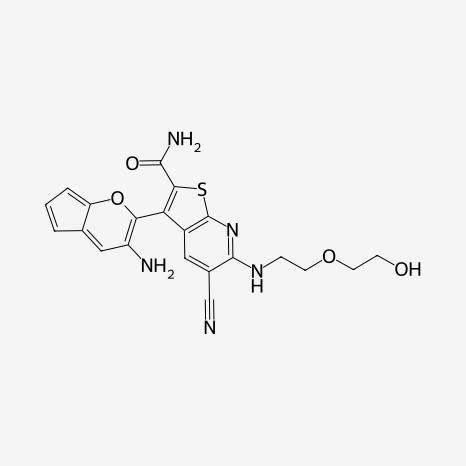 N#Cc1cc2c(-c3oc4cccc-4cc3N)c(C(N)=O)sc2nc1NCCOCCO